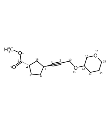 COC(=O)[C@H]1CC[C@H](C#CCOC2CCCOC2)C1